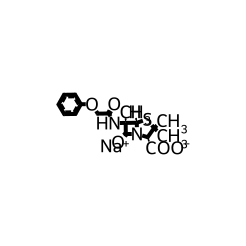 CC1(C)S[C@H]2N(C(=O)[C@@]2(C)NC(=O)COc2ccccc2)[C@H]1C(=O)[O-].[Na+]